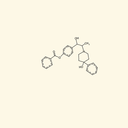 CC(C(O)c1ccc(OC(=O)c2ccccc2)cc1)N1CCC(O)(c2ccccc2)CC1